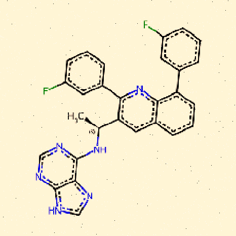 C[C@H](Nc1ncnc2[nH]cnc12)c1cc2cccc(-c3cccc(F)c3)c2nc1-c1cccc(F)c1